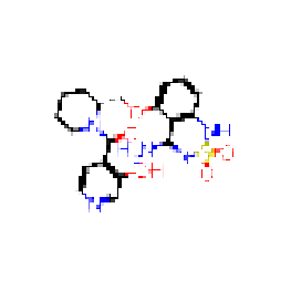 NC1=NS(=O)(=O)Nc2cccc(OC[C@H]3CCCCN3C(=O)c3ccncc3O)c21